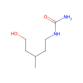 CC(CCO)CCNC(N)=O